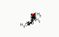 C=CC(=O)N1CCC[C@H]1c1nc(-c2ccc(C(=O)N/C=N/C=C\CC)cc2)c2c(N)nccn12